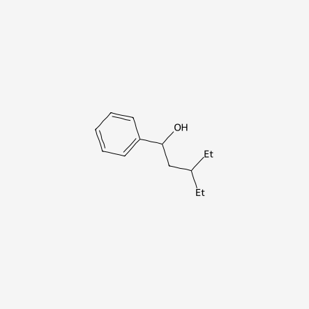 CCC(CC)CC(O)c1ccccc1